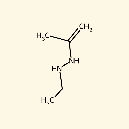 C=C(C)NNCC